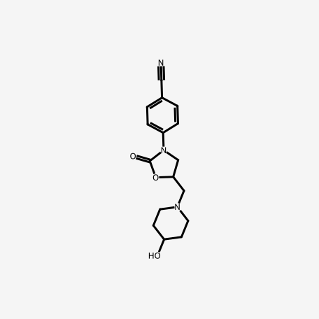 N#Cc1ccc(N2CC(CN3CCC(O)CC3)OC2=O)cc1